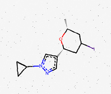 C[C@@H]1CC(I)C[C@H](c2cnn(C3CC3)c2)O1